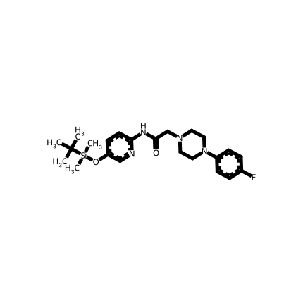 CC(C)(C)[Si](C)(C)Oc1ccc(NC(=O)CN2CCN(c3ccc(F)cc3)CC2)nc1